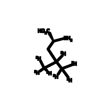 [2H]C([2H])([2H])C([2H])(C[C@H](N)C(=O)O)C([2H])([2H])[2H]